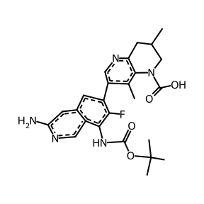 Cc1c(-c2cc3cc(N)ncc3c(NC(=O)OC(C)(C)C)c2F)cnc2c1N(C(=O)O)CC(C)C2